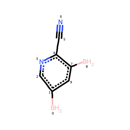 Bc1cnc(C#N)c(B)c1